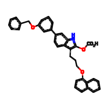 O=C(O)Oc1[nH]c2cc(-c3cccc(OCc4ccccc4)c3)ccc2c1CCCOc1cccc2ccccc12